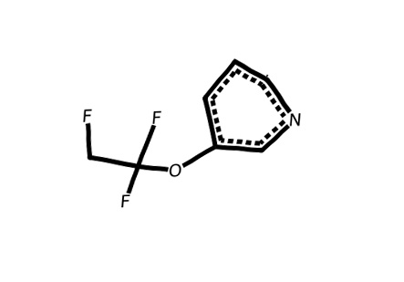 FCC(F)(F)Oc1cc[c]nc1